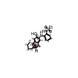 CCS(=O)(=O)Nc1ccccc1Nc1cc2c(cc1O)[C@]13CCCC[C@@H]1[C@H](C2)NCC3